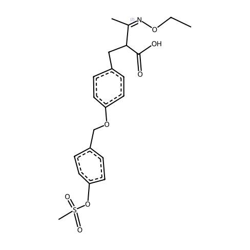 CCO/N=C(/C)C(Cc1ccc(OCc2ccc(OS(C)(=O)=O)cc2)cc1)C(=O)O